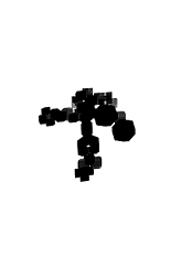 CC(C)(C)OC(=O)N1CCC(C#Cc2c(-c3ccc(Oc4ccccc4)cc3)c3c(N)ncnc3n2COCC[Si](C)(C)C)CC1